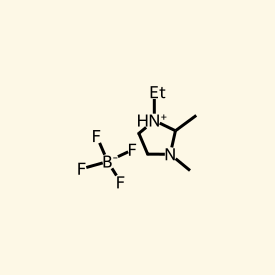 CC[NH+]1CCN(C)C1C.F[B-](F)(F)F